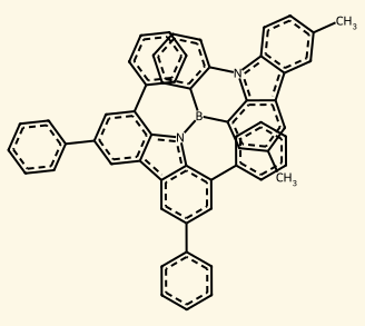 Cc1ccc2c(c1)c1cc(C)cc3c1n2-c1ccccc1B3n1c2c(-c3ccccc3)cc(-c3ccccc3)cc2c2cc(-c3ccccc3)cc(-c3ccccc3)c21